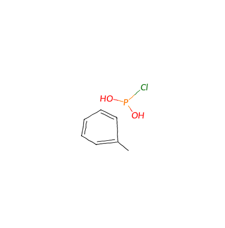 Cc1ccccc1.OP(O)Cl